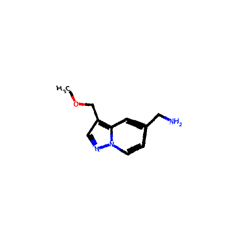 COCc1cnn2ccc(CN)cc12